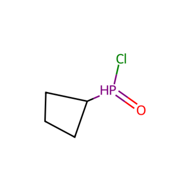 O=[PH](Cl)C1CCC1